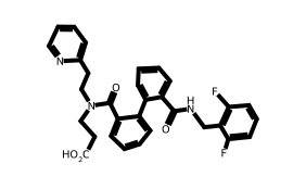 O=C(O)CCN(CCc1ccccn1)C(=O)c1ccccc1-c1ccccc1C(=O)NCc1c(F)cccc1F